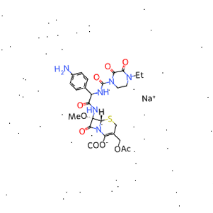 CCN1CCN(C(=O)N[C@@H](C(=O)N[C@]2(OC)C(=O)N3C(C(=O)[O-])=C(COC(C)=O)CS[C@H]32)c2ccc(N)cc2)C(=O)C1=O.[Na+]